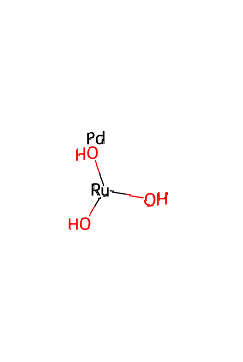 [OH][Ru]([OH])[OH].[Pd]